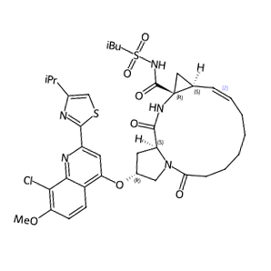 CCC(C)S(=O)(=O)NC(=O)[C@@]12C[C@H]1/C=C\CCCCCC(=O)N1C[C@H](Oc3cc(-c4nc(C(C)C)cs4)nc4c(Cl)c(OC)ccc34)C[C@H]1C(=O)N2